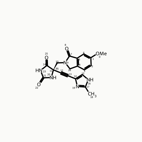 COc1ccc2c(c1)C(=O)N(C[C@@]1(C#Cc3c[nH]c(C)n3)NC(=O)NC1=O)C2